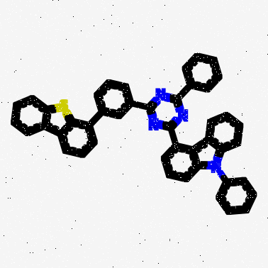 c1ccc(-c2nc(-c3cccc(-c4cccc5c4sc4ccccc45)c3)nc(-c3cccc4c3c3ccccc3n4-c3ccccc3)n2)cc1